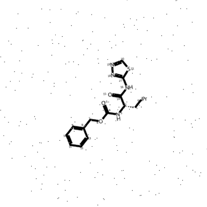 CC(C)C[C@H](NC(=O)OCc1ccccc1)C(=O)Nc1nncs1